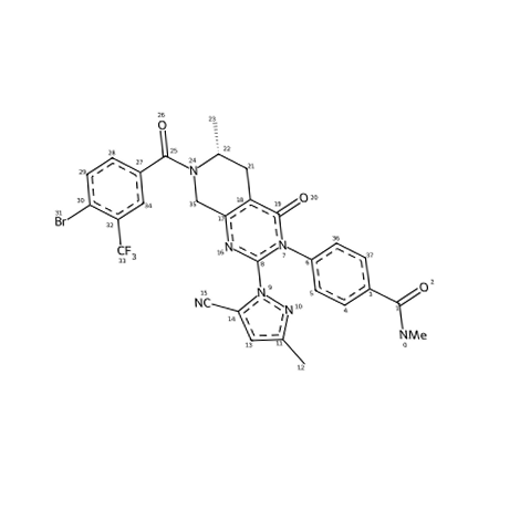 CNC(=O)c1ccc(-n2c(-n3nc(C)cc3C#N)nc3c(c2=O)C[C@@H](C)N(C(=O)c2ccc(Br)c(C(F)(F)F)c2)C3)cc1